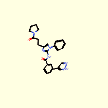 O=C(Nc1nc(CCC(=O)N2CCCC2)cn1-c1ccccc1)c1cccc(-c2cn[nH]c2)c1